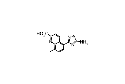 Cc1ccc(-c2nsc(N)n2)c2ccc(C(=O)O)nc12